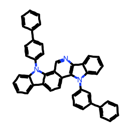 c1ccc(-c2ccc(-n3c4ccccc4c4ccc5c(cnc6c7ccccc7n(-c7cccc(-c8ccccc8)c7)c56)c43)cc2)cc1